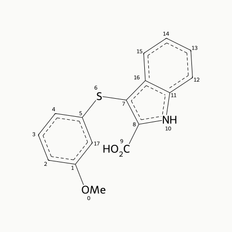 COc1cccc(Sc2c(C(=O)O)[nH]c3ccccc23)c1